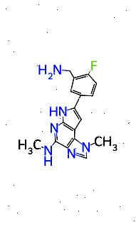 CNc1nc2[nH]c(-c3ccc(F)c(CN)c3)cc2c2c1ncn2C